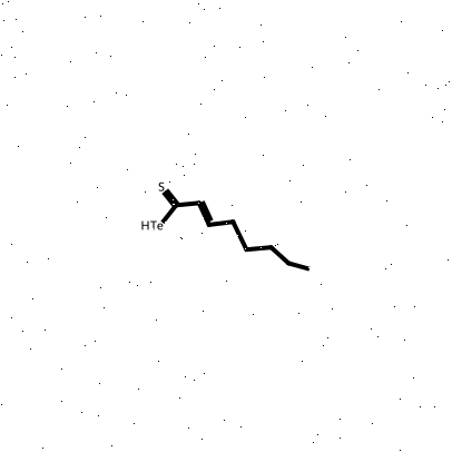 CCCCCC=CC(=S)[TeH]